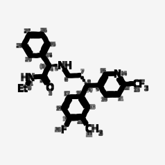 CCNC(=O)[C@@H](NCC[C@H](c1ccc(C(F)(F)F)nc1)c1ccc(F)c(C)c1)c1ccccc1